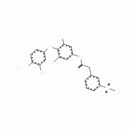 COc1ccc(Oc2c(Cl)cc(NC(=O)Cc3cccc(S(C)(=O)=O)c3)cc2Cl)cc1C(C)C